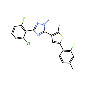 Cc1ccc(-c2cc(-c3nc(-c4c(F)cccc4Cl)nn3C)c(C)s2)c(F)c1